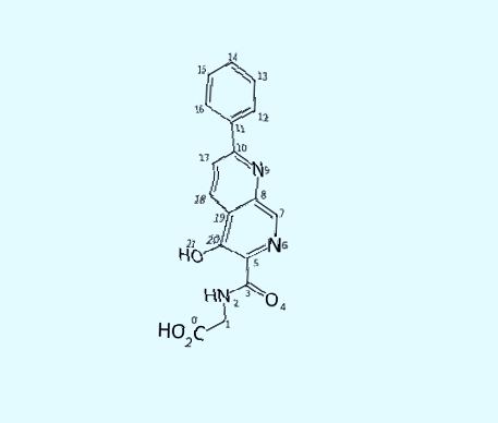 O=C(O)CNC(=O)c1ncc2nc(-c3ccccc3)ccc2c1O